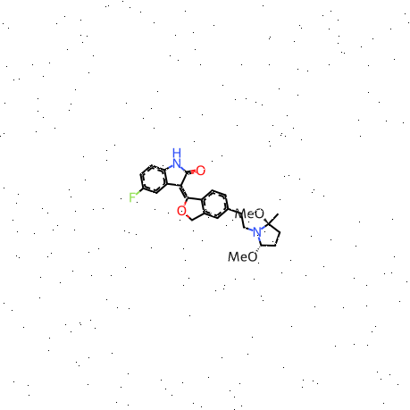 CO[C@H]1CC[C@](C)(OC)N1CCc1ccc2c(c1)COC2=C1C(=O)Nc2ccc(F)cc21